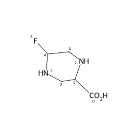 O=C(O)C1CNC(F)CN1